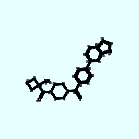 NC1(C(=O)N2CCN(C(=O)c3ccc(-c4ccc5scnc5c4)cc3)CC2)COC1